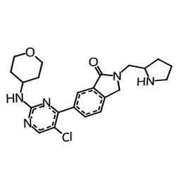 O=C1c2cc(-c3nc(NC4CCOCC4)ncc3Cl)ccc2CN1CC1CCCN1